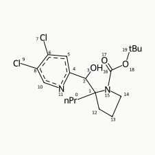 CCCC1(C(O)c2cc(Cl)c(Cl)cn2)CCCN1C(=O)OC(C)(C)C